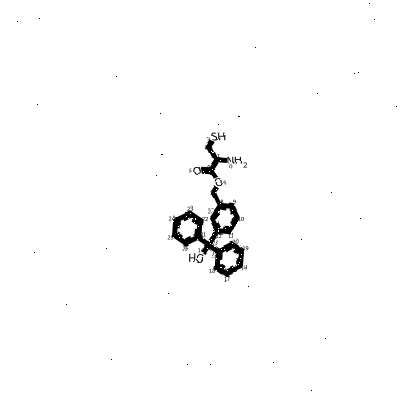 NC(CS)C(=O)OCc1cccc(C(O)(c2ccccc2)c2ccccc2)c1